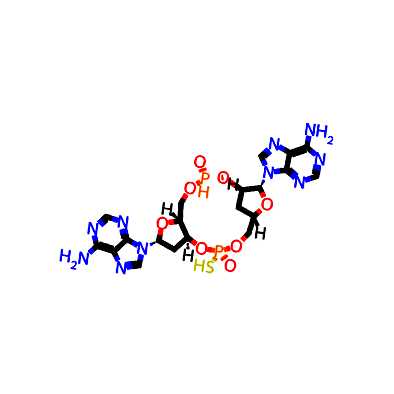 Nc1ncnc2c1ncn2[C@@H]1O[C@@H]2COP(=O)(S)O[C@H]3C[C@H](n4cnc5c(N)ncnc54)O[C@@H]3CO[PH](=O)O[C@@H]1C2